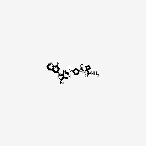 NC(=O)C1(NC(=O)[C@@H]2CC[C@@H](Nc3ncc4c(Br)nn(-c5cc(F)c6ncccc6c5)c4n3)C2)CCC1